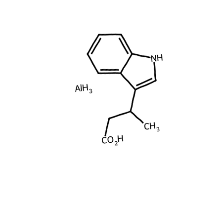 CC(CC(=O)O)c1c[nH]c2ccccc12.[AlH3]